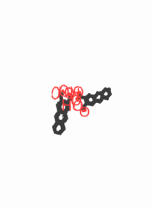 O=C(O)c1cc2cc3ccccc3cc2cc1C(=O)OC(=O)c1cc2cc3ccccc3cc2cc1C(=O)O